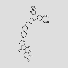 COc1cc(N2CCC(CN3CCC4(CC3)CCN(c3ccc5c(c3)C(=O)N(C3CCC(=O)NC3=O)C5=O)CC4)CC2)c(-c2cnn(C)c2)cc1N